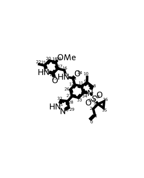 C=CCC1(S(=O)(=O)n2cc(C)c3c(C(=O)NCc4c(OC)cc(C)[nH]c4=O)cc(-c4cn[nH]c4)cc32)CC1